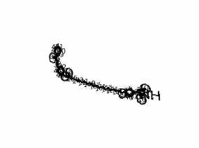 O=C1C=C(c2ccc(OCCCCCCCCCCCCCCCCCCC(=O)Oc3ccc(C=CC(=O)c4ccccc4)cc3)cc2)C(=O)N1